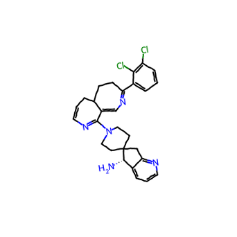 N[C@H]1c2cccnc2CC12CCN(C1=NC=CCC3CCC(c4cccc(Cl)c4Cl)=NC=C13)CC2